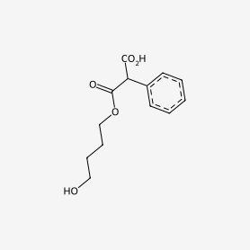 O=C(O)C(C(=O)OCCCCO)c1ccccc1